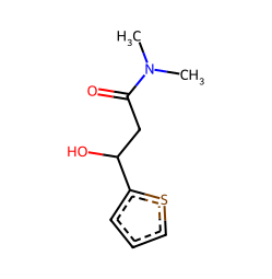 CN(C)C(=O)CC(O)c1cccs1